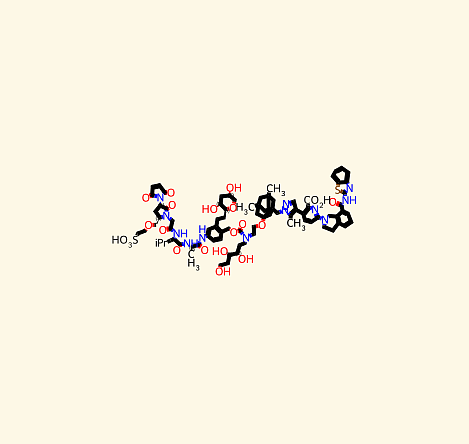 Cc1c(-c2ccc(N3CCc4cccc(C(=O)Nc5nc6ccccc6s5)c4C3)nc2C(=O)O)cnn1CC12CC3(C)CC(C)(C1)CC(OCCN(CC[C@@H](O)[C@H](O)CCO)C(=O)OCc1ccc(NC(=O)[C@H](C)NC(=O)C(NC(=O)CN4C(=O)[C@@H](N5C(=O)C=CC5=O)C[C@H]4COCCS(=O)(=O)O)C(C)C)cc1CC[C@@H]1OC[C@@H](O)C[C@H]1O)(C3)C2